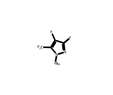 CC(C)(C)n1nc(F)c(F)c1C(F)(F)F